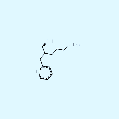 C=CC(CCCCCCCCCC)Cc1ccccn1